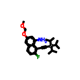 COCOc1cc(N)c2c(C#C[Si](C(C)C)(C(C)C)C(C)C)c(F)ccc2c1